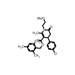 COCCN1C(=O)CC(c2ccc(Cl)cc2)C(C(=O)OCc2c(C)cc(C)cc2C)=C1C